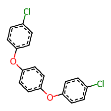 Clc1ccc(Oc2ccc(Oc3ccc(Cl)cc3)cc2)cc1